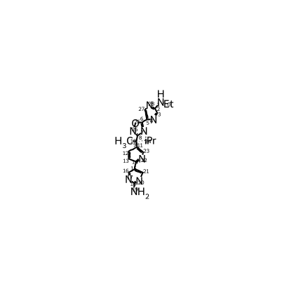 CCNc1cnc(-c2nc([C@](C)(c3ccc(-c4cnc(N)nc4)nc3)C(C)C)no2)cn1